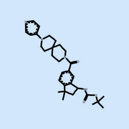 CC(C)(C)OC(=O)NC1CC(C)(C)c2ccc(C(=O)N3CCC4(CC3)CCN(c3ccncc3)CC4)cc21